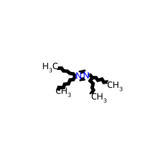 CCCCCCCC(CCCCCCC)N1CCN(CC(CCCCCC)CCCCCC)CC1